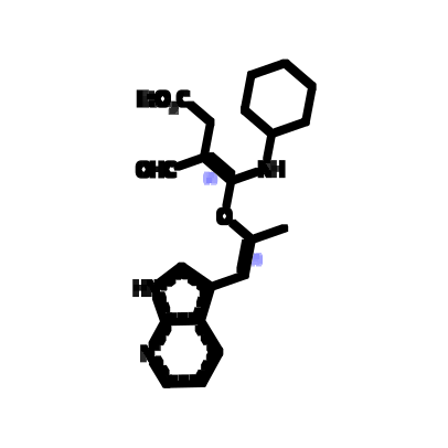 CCOC(=O)C/C(C=O)=C(\NC1CCCCC1)O/C(C)=C\c1c[nH]c2ncccc12